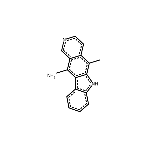 Cc1c2ccncc2c(C)c2c1[nH]c1ccccc12.N